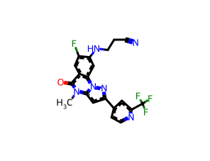 Cn1c(=O)c2cc(F)c(NCCC#N)cc2n2nc(-c3ccnc(C(F)(F)F)c3)cc12